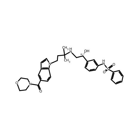 CC(C)(CCn1ccc2cc(C(=O)N3CCOCC3)ccc21)NC[C@H](O)c1cccc(NS(=O)(=O)c2ccccc2)c1